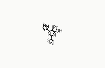 CC(C)c1c(O)nc(-c2cncs2)nc1-c1ccn(C)n1